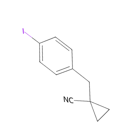 N#CC1(Cc2ccc(I)cc2)CC1